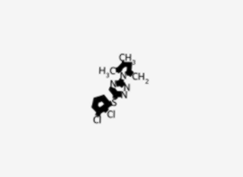 C=C1C[C@H](C)C(C)N1c1ncc(Sc2cccc(Cl)c2Cl)nn1